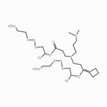 CCCCCCCCCCCCSSSCC(CC)OC(=O)CCN(CCCN(C)C)CCC(OC(CC)CSSSCCCCCCCCCCCC)=C1CCC1